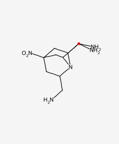 NCC1CC2([N+](=O)[O-])CC(CN)N1C(CN)C2